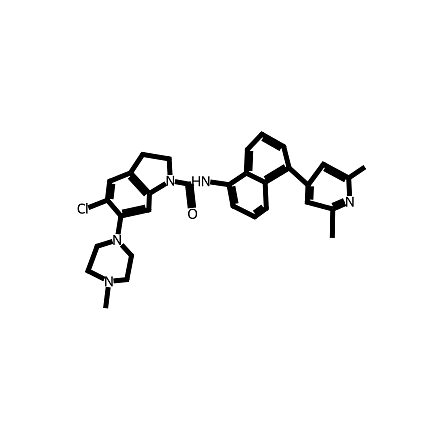 Cc1cc(-c2cccc3c(NC(=O)N4CCc5cc(Cl)c(N6CCN(C)CC6)cc54)cccc23)cc(C)n1